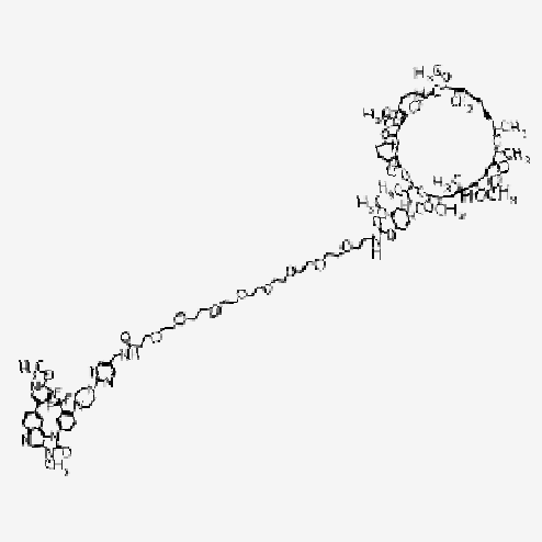 COc1ccc(-c2ccc3ncc4c(c3c2)n(-c2ccc(N3CCN(c5ncc(CNC(=O)CCOCCOCCOCCOCCOCCOCCOCCOCCNC(=O)O[C@@H]6CC[C@@H](C[C@@H](C)[C@@H]7C[C@@H](OC)[C@H](C)/C=C(\C)[C@@H](O)[C@@H](OC)C(=O)[C@H](C)C[C@H](C)/C=C/C=C/C=C(\C)[C@@H](OC)C[C@@H]8CC[C@@H](C)[C@@](O)(O8)C(=O)C(=O)N8CCCC[C@H]8C(=O)O7)C[C@H]6OC)cn5)CC3)c(C(F)(F)F)c2)c(=O)n4C)cn1